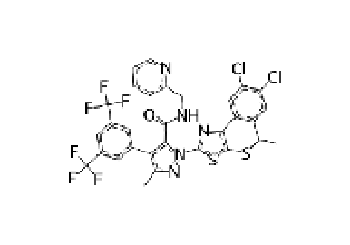 Cc1nn(-c2nc3c(s2)SC(C)c2cc(Cl)c(Cl)cc2-3)c(C(=O)NCc2ccccn2)c1-c1cc(C(F)(F)F)cc(C(F)(F)F)c1